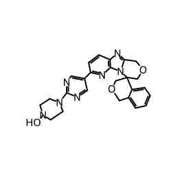 ON1CCN(c2ncc(-c3ccc4nc5n(c4n3)C3(COCc4ccccc43)COC5)cn2)CC1